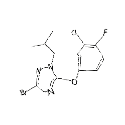 CC(C)Cn1nc(Br)nc1Oc1ccc(F)c(Cl)c1